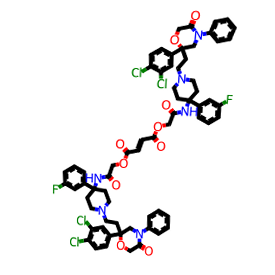 O=C(COC(=O)/C=C/C(=O)OCC(=O)NC1(c2cccc(F)c2)CCN(CCC2(c3ccc(Cl)c(Cl)c3)CN(c3ccccc3)C(=O)CO2)CC1)NC1(c2cccc(F)c2)CCN(CCC2(c3ccc(Cl)c(Cl)c3)CN(c3ccccc3)C(=O)CO2)CC1